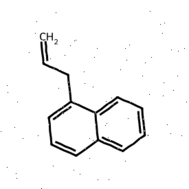 C=CCc1cccc2c[c]ccc12